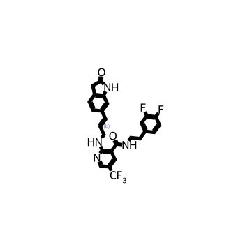 O=C1Cc2ccc(/C=C/CNc3ncc(C(F)(F)F)cc3C(=O)NCCc3ccc(F)c(F)c3)cc2N1